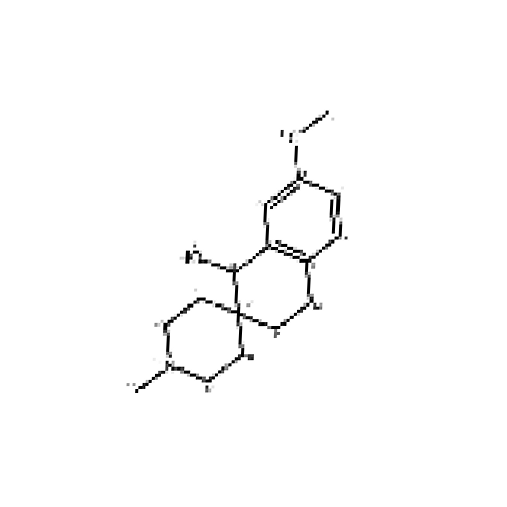 COc1ccc2c(c1)C(O)C1(CC2)CCN(C)CC1